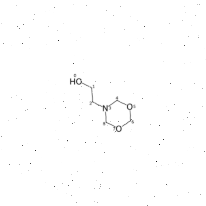 OCCN1COCOC1